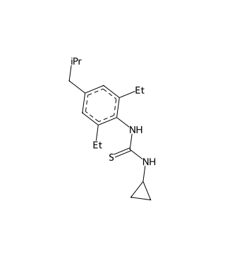 CCc1cc(CC(C)C)cc(CC)c1NC(=S)NC1CC1